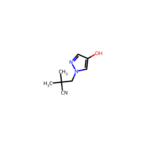 CC(C)(C#N)Cn1cc(O)cn1